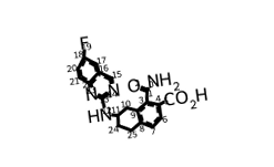 NC(=O)c1c(C(=O)O)ccc2c1CC(Nc1ncc3cc(F)ccc3n1)CC2